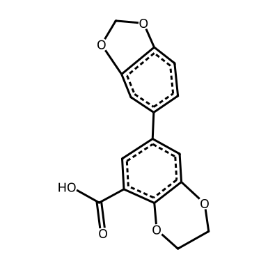 O=C(O)c1cc(-c2ccc3c(c2)OCO3)cc2c1OCCO2